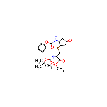 COC(=O)[C@H](CSC1CC(=O)CC1NC(=O)Oc1ccccc1)NC(=O)OC(C)(C)C